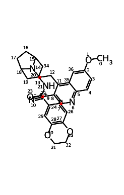 COc1ccc2ncc(C#N)c(CCN3C4CCC3CC(N[S+]([O-])c3ccc5c(c3)OCCO5)C4)c2c1